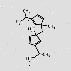 CC(C)C1=C[C](C)([Zr][C]2(C)C=CC(C(C)C)=C2)C=C1